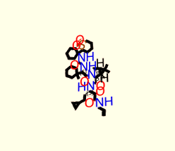 C=CCNC(=O)C(=O)[C@H](CCC1CC1)NC(=O)[C@@H]1[C@@H]2[C@H](CN1C(=O)[C@@H](NC(=O)NC1(C3CCCCS3(=O)=O)CCCCC1)C1(C)CCCCC1)C2(C)C